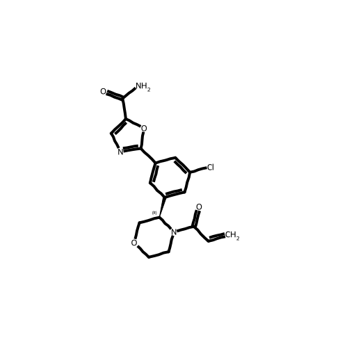 C=CC(=O)N1CCOC[C@H]1c1cc(Cl)cc(-c2ncc(C(N)=O)o2)c1